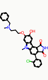 CN(CCCOc1cc2c(cc1O)c1c3c(c(-c4ccccc4Cl)cc1n2C)C(=O)NC3=O)Cc1ccccc1